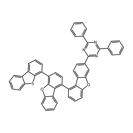 c1ccc(-c2nc(-c3ccccc3)nc(-c3ccc4c(c3)oc3cccc(-c5ccc(-c6cccc7c6sc6ccccc67)c6oc7ccccc7c56)c34)n2)cc1